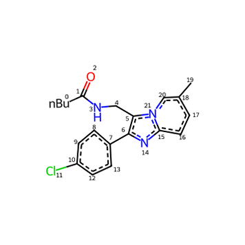 CCCCC(=O)NCc1c(-c2ccc(Cl)cc2)nc2ccc(C)cn12